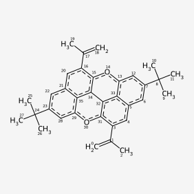 C=C(C)c1cc2cc(C(C)(C)C)cc3oc4c(C(=C)C)cc5cc(C(C)(C)C)cc6oc1c(c23)-c4c56